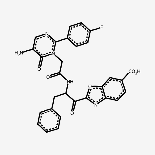 Nc1cnc(-c2ccc(F)cc2)n(CC(=O)NC(Cc2ccccc2)C(=O)c2nc3ccc(C(=O)O)cc3o2)c1=O